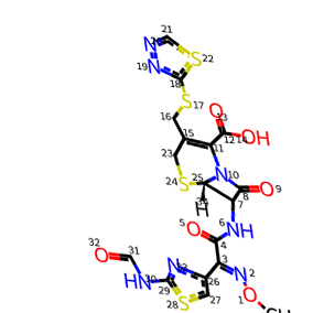 CON=C(C(=O)NC1C(=O)N2C(C(=O)O)=C(CSc3nncs3)CS[C@@H]12)c1csc(NC=O)n1